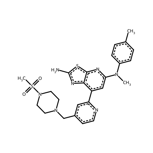 Cc1ccc(N(C)c2cc(-c3cc(CN4CCN(S(C)(=O)=O)CC4)ccn3)c3nc(N)sc3n2)cc1